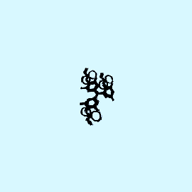 C=CC(=O)Oc1c(C)cc(C(c2cc(C)c(OC(=O)C=C)c(C)c2)c2cc(C)cc(C)c2OC(=O)C=C)cc1C